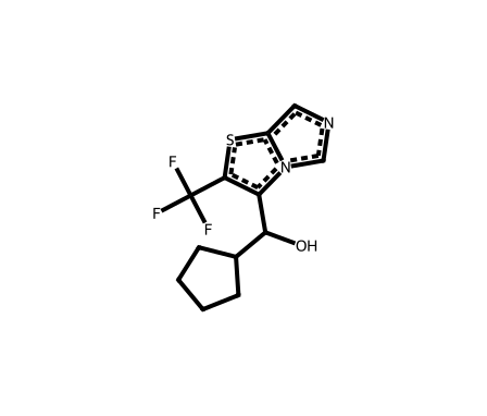 OC(c1c(C(F)(F)F)sc2cncn12)C1CCCC1